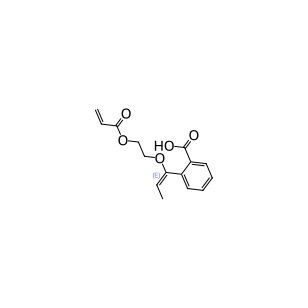 C=CC(=O)OCCO/C(=C/C)c1ccccc1C(=O)O